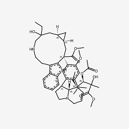 CCC1(O)CNCCc2c([nH]c3ccccc23)[C@@](C(=O)OC)(c2cc([C@]3(C)CCN4CC=C[C@@](CC)([C@@H](OC(C)=O)C(C)(O)C(=O)OC)[C@H]43)c(N(C)C)cc2OC)C[C@@H]2C[C@@H]2C1